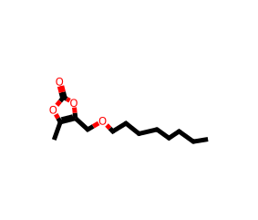 CCCCCCCCOCc1oc(=O)oc1C